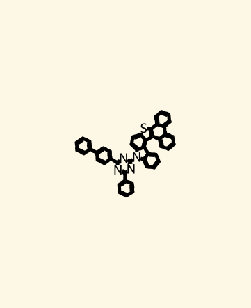 c1ccc(-c2ccc(-c3nc(-c4ccccc4)nc(-n4c5ccccc5c5c6c(ccc54)sc4c5ccccc5c5ccccc5c46)n3)cc2)cc1